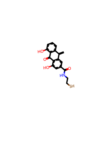 C=C1c2cccc(O)c2C(=O)c2c(O)cc(C(=O)NCCS)cc21